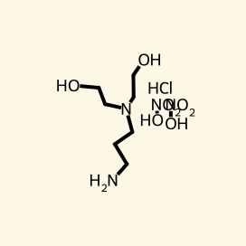 Cl.NCCCN(CCO)CCO.O=[N+]([O-])O.O=[N+]([O-])O